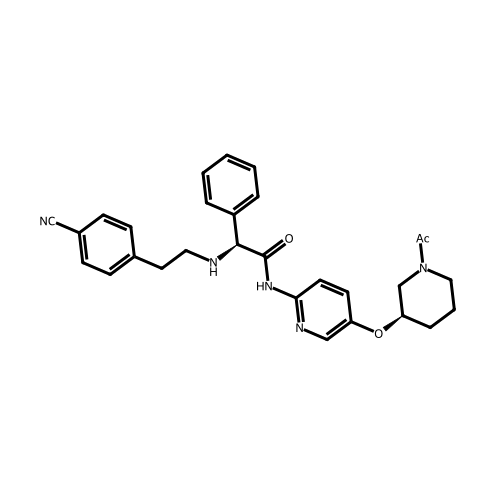 CC(=O)N1CCC[C@@H](Oc2ccc(NC(=O)[C@@H](NCCc3ccc(C#N)cc3)c3ccccc3)nc2)C1